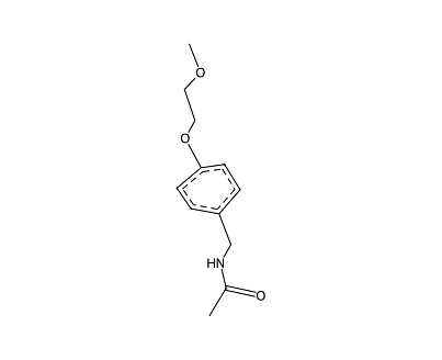 COCCOc1ccc(CNC(C)=O)cc1